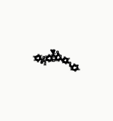 O=c1oc(-c2ccc(OCc3cccnc3)cc2)cc(O)c1C(c1ccc(NS(=O)(=O)c2ccccc2)cc1)C1CC1